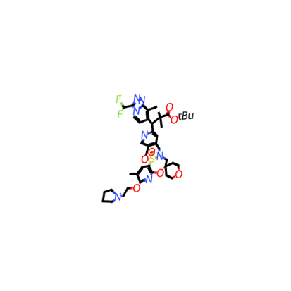 Cc1cnc(C(c2ccn3c(C(F)F)nnc3c2C)C(C)(C)C(=O)OC(C)(C)C)cc1CN1CC2(CCOCC2)Oc2nc(OCCN3CCCC3)c(C)cc2S1(=O)=O